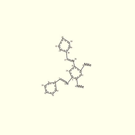 CNc1cc(NC)c(/N=C/c2ccccc2)cc1/N=C/c1ccccc1